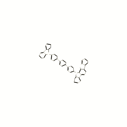 c1ccc2c(c1)sc1c2ccc2c3ccccc3n(-c3ccc(-c4ccc(-c5ccc(-n6c7ccccc7c7ccccc76)cc5)cc4)cc3)c21